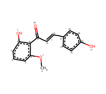 COc1cccc(O)c1C(=O)/C=C/c1ccc(O)cc1